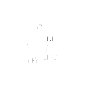 CCCCCCC.NC=O